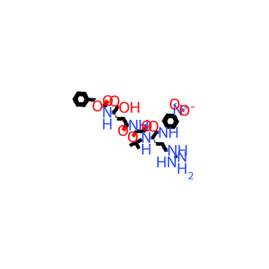 CC(C)(C)OC(NC(=O)CC[C@H](NC(=O)OCc1ccccc1)C(=O)O)C(=O)N[C@@H](CCCNC(=N)N)C(=O)Nc1ccc([N+](=O)[O-])cc1